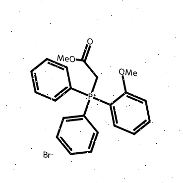 COC(=O)C[P+](c1ccccc1)(c1ccccc1)c1ccccc1OC.[Br-]